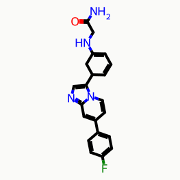 NC(=O)CNC1=CC=CC(c2cnc3cc(-c4ccc(F)cc4)ccn23)C1